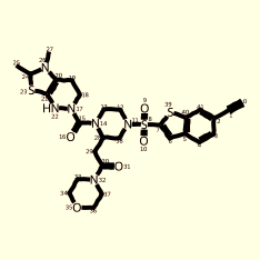 C#Cc1ccc2cc(S(=O)(=O)N3CCN(C(=O)N4CCC5=C(N4)SC(C)N5C)C(CC(=O)N4CCOCC4)C3)sc2c1